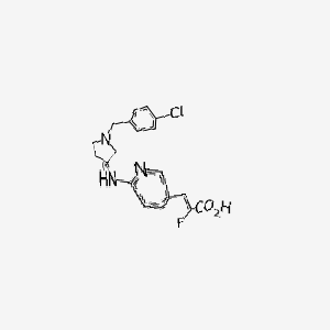 O=C(O)C(F)=Cc1ccc(N[C@@H]2CCN(Cc3ccc(Cl)cc3)C2)nc1